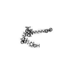 CO[C@H](C[C@@H](CC[C@H]1CC[C@H](O)CC1)OC=O)[C@H](C)/C=C(\C)[C@@H](O)[C@@H](OC)/C(=N/CCCCCCCCCOCC=O)[C@H](C)CC(C)C